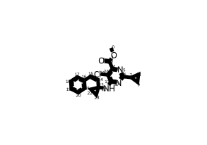 COC(=O)c1nc(C2CC2)nc(NC2(/C=C\c3ccccc3)CC2)c1Cl